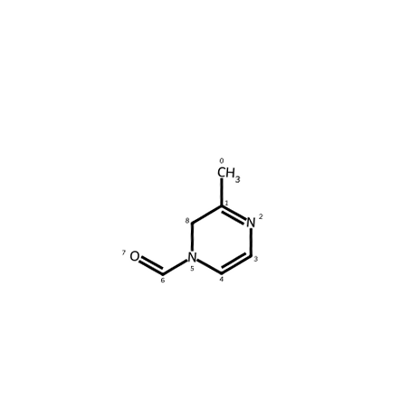 CC1=NC=CN(C=O)C1